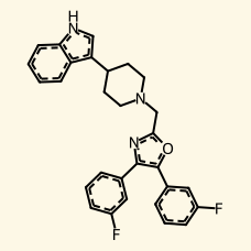 Fc1cccc(-c2nc(CN3CCC(c4c[nH]c5ccccc45)CC3)oc2-c2cccc(F)c2)c1